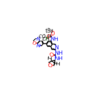 Cc1c(-c2cc3cc(NC(=O)N[C@@H]4[C@@H]5COC[C@@H]54)ncc3c(NC(=O)OC(C)(C)C)c2F)cnc2c1N(C(=O)O)CCO2